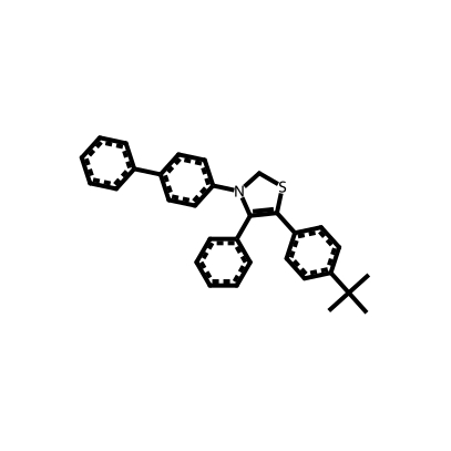 CC(C)(C)c1ccc(C2=C(c3ccccc3)N(c3ccc(-c4ccccc4)cc3)CS2)cc1